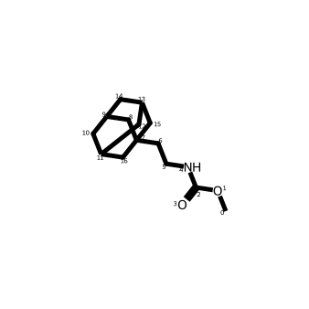 COC(=O)NCCC12CC3CC(CC(C3)C1)C2